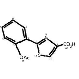 CC(=O)Oc1ccccc1-c1nc(C(=O)O)cs1